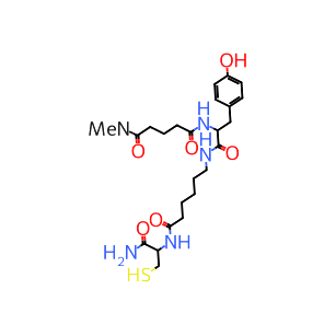 CNC(=O)CCCC(=O)NC(Cc1ccc(O)cc1)C(=O)NCCCCCC(=O)NC(CS)C(N)=O